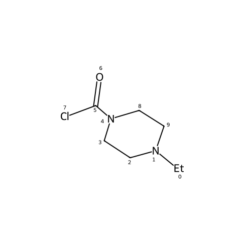 CCN1CCN(C(=O)Cl)CC1